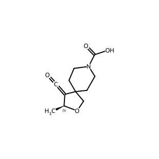 C[C@@H]1OCC2(CCN(C(=O)O)CC2)C1=C=O